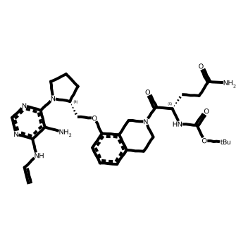 C=CNc1ncnc(N2CCC[C@@H]2COc2cccc3c2CN(C(=O)[C@H](CCC(N)=O)NC(=O)OC(C)(C)C)CC3)c1N